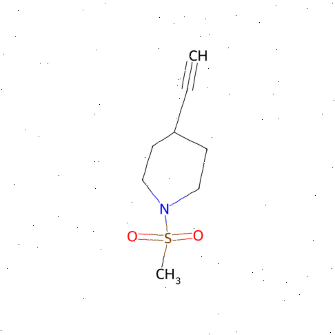 C#CC1CCN(S(C)(=O)=O)CC1